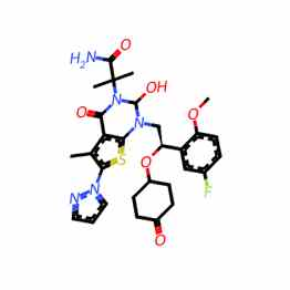 COc1ccc(F)cc1[C@H](CN1c2sc(-n3cccn3)c(C)c2C(=O)N(C(C)(C)C(N)=O)C1O)OC1CCC(=O)CC1